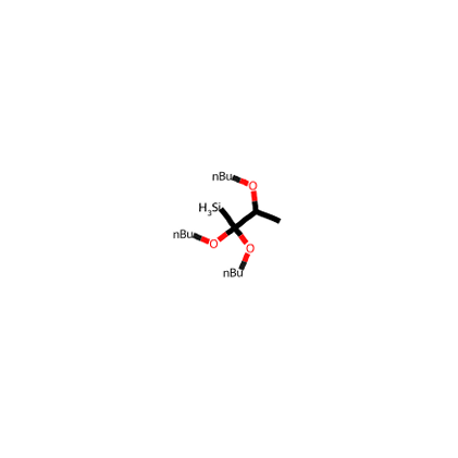 CCCCOC(C)C([SiH3])(OCCCC)OCCCC